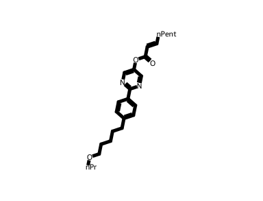 CCCCC/C=C/C(=O)Oc1cnc(-c2ccc(CCCCCOCCC)cc2)nc1